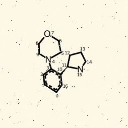 c1ccc(N2CCOCC2)c([C@H]2CCC[N]2)c1